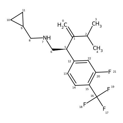 C=C(C(C)C)[C@H](CNCC1CC1)c1ccc(C(F)(F)F)c(F)c1